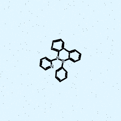 c1ccc(B2c3ccccc3-c3ccccc3N2c2ccccn2)cc1